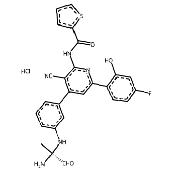 C[C@@](N)(C=O)Nc1cccc(-c2cc(-c3ccc(F)cc3O)nc(NC(=O)c3cccs3)c2C#N)c1.Cl